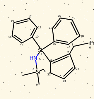 CC(C)CC1=C([Si](N[Si](C)(C)C)(c2ccccc2)c2ccccc2)CC=C1